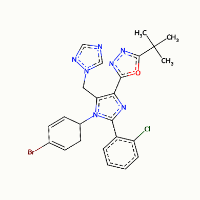 CC(C)(C)c1nnc(-c2nc(-c3ccccc3Cl)n(C3C=CC(Br)=CC3)c2Cn2cncn2)o1